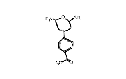 CC(=O)c1ccc(N2CC(C)OC(C)C2)cc1